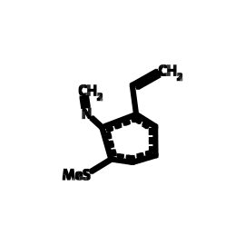 C=Cc1cccc(SC)c1N=C